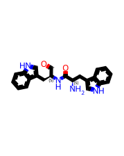 N[C@@H](Cc1c[nH]c2ccccc12)C(=O)N[C@H]([C]=O)Cc1c[nH]c2ccccc12